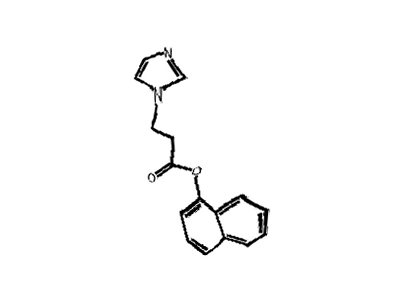 O=C(CCn1ccnc1)Oc1cccc2ccccc12